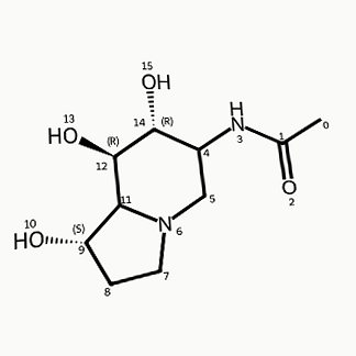 CC(=O)NC1CN2CC[C@H](O)C2[C@@H](O)[C@@H]1O